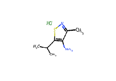 Cc1nsc(C(C)C)c1N.Cl